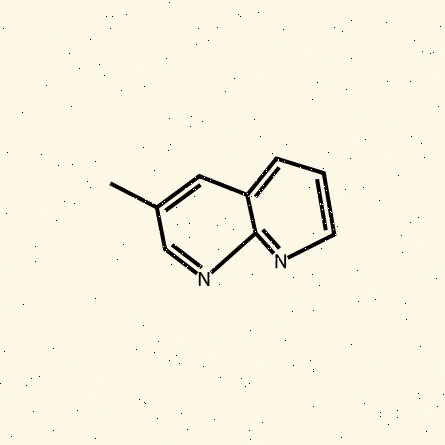 Cc1cnc2ncccc2c1